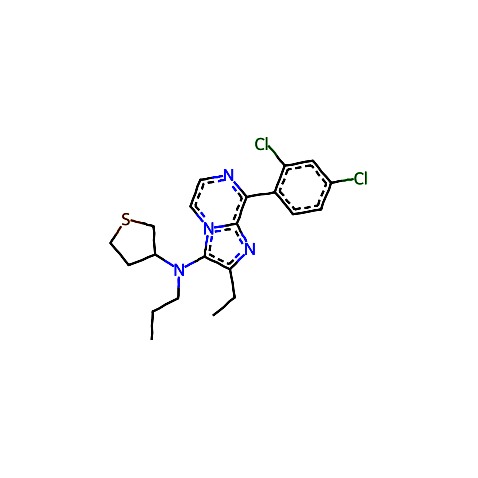 CCCN(c1c(CC)nc2c(-c3ccc(Cl)cc3Cl)nccn12)C1CCSC1